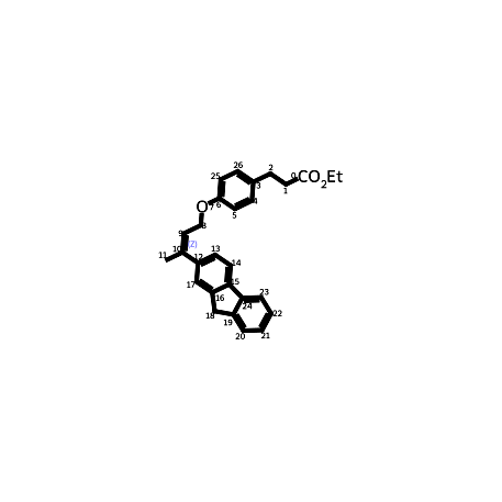 CCOC(=O)CCc1ccc(OC/C=C(/C)c2ccc3c(c2)Cc2ccccc2-3)cc1